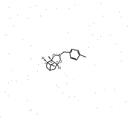 Cc1ccc(CB2O[C@@H]3CC4C[C@@H](C4(C)C)[C@]3(C)O2)cc1